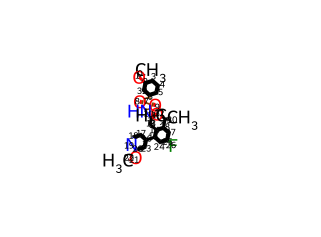 COc1cccc(S(=O)(=O)NC(=O)Cc2c(-c3ccnc(OC)c3)cc(F)cc2C(C)C)c1